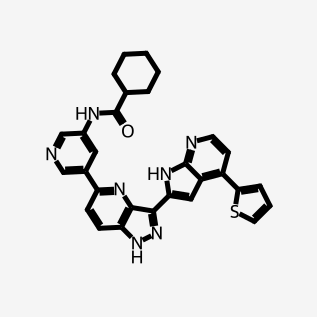 O=C(Nc1cncc(-c2ccc3[nH]nc(-c4cc5c(-c6cccs6)ccnc5[nH]4)c3n2)c1)C1CCCCC1